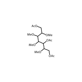 COC(COC(C)=O)C(OC)C(OC)C(OC(C)=O)C(COC(C)=O)OC